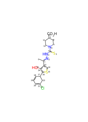 C/C(=N\NC(=S)N1CCC(C(=O)O)CC1)c1csc(C2C=CC=C(Cl)C2)c1O